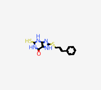 O=C1NC(S)Nc2nc(SC/C=C/c3ccccc3)[nH]c21